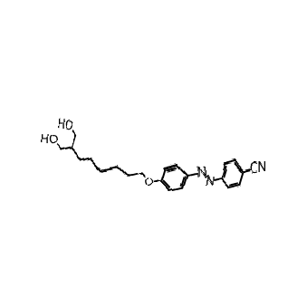 N#Cc1ccc(N=Nc2ccc(OCCCCCCC(CO)CO)cc2)cc1